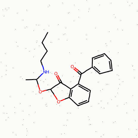 CCCCNC(C)OC1Oc2cccc(C(=O)c3ccccc3)c2C1=O